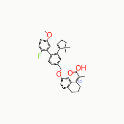 COc1ccc(F)c(-c2ccc(COc3ccc4c(c3)/C(=C(/C)C(=O)O)CCC4)cc2C2=CCCC2(C)C)c1